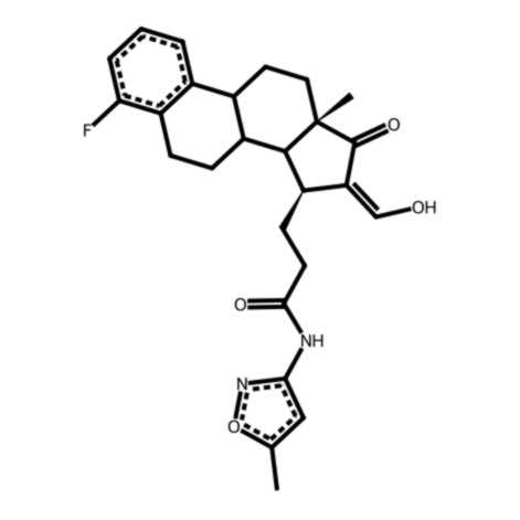 Cc1cc(NC(=O)CC[C@@H]2/C(=C/O)C(=O)[C@@]3(C)CCC4c5cccc(F)c5CCC4C23)no1